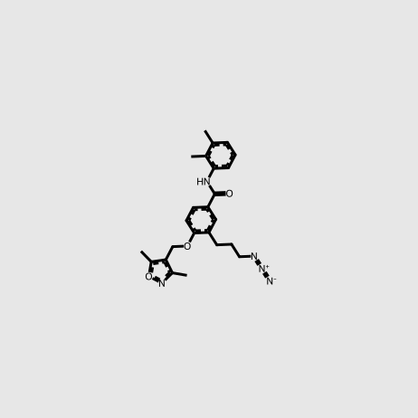 Cc1cccc(NC(=O)c2ccc(OCc3c(C)noc3C)c(CCCN=[N+]=[N-])c2)c1C